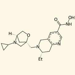 CC[C@H]1Cc2ncc(C(=O)NO)cc2CN1C[C@]12C[C@H](CO1)N(C1CC1)C2